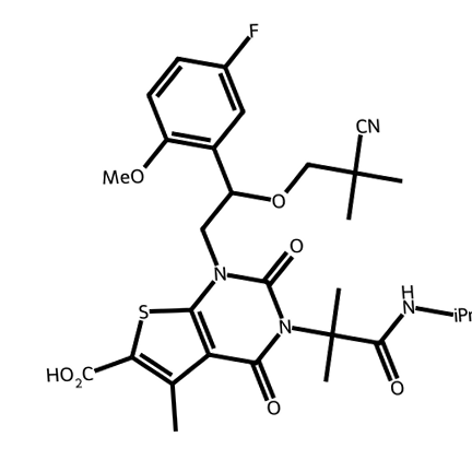 COc1ccc(F)cc1C(Cn1c(=O)n(C(C)(C)C(=O)NC(C)C)c(=O)c2c(C)c(C(=O)O)sc21)OCC(C)(C)C#N